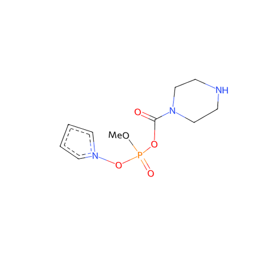 COP(=O)(OC(=O)N1CCNCC1)On1cccc1